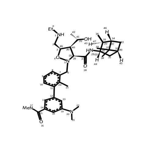 CCNC[C@@H]1ON(Cc2cccc(-c3cc(C(=O)NC)cc(N(C)C)c3)c2C)[C@H](C(=O)N[C@H]2C[C@H]3C[C@@H]([C@@H]2C)C3(C)C)[C@@H]1[C@H](C)O